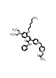 CCCCCCOc1cc(N(CC)CC)ccc1/C=C(\C(=O)Nc1ccccc1)c1cc[n+](Cc2cc[n+](CC(C)=O)cc2)cc1